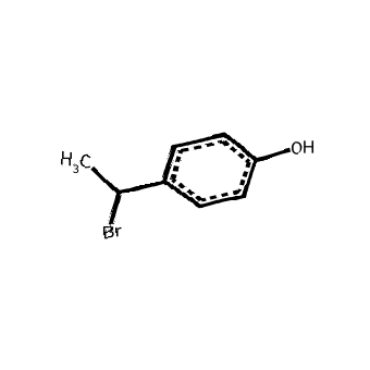 CC(Br)c1ccc(O)cc1